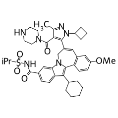 COc1ccc2c(c1)C=C(c1c(C(=O)N3CCNCC3)c(C)nn1C1CCC1)Cn1c-2c(C2CCCCC2)c2ccc(C(=O)NS(=O)(=O)C(C)C)cc21